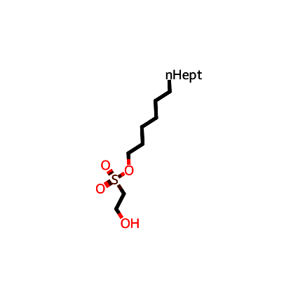 CCCCCCCCCCCCCOS(=O)(=O)CCO